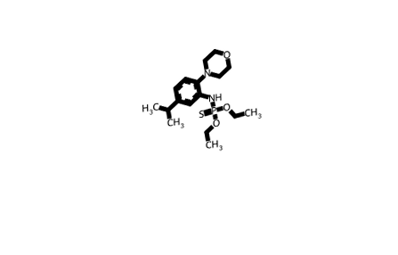 CCOP(=S)(Nc1cc(C(C)C)ccc1N1CCOCC1)OCC